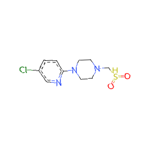 O=[SH](=O)CN1CCN(c2ccc(Cl)cn2)CC1